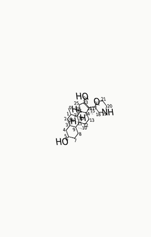 CC1C=C2CC(O)CC[C@]2(C)[C@@H]2CC[C@]3(C)C(C4CNCCO4)=C(O)C[C@H]3[C@H]12